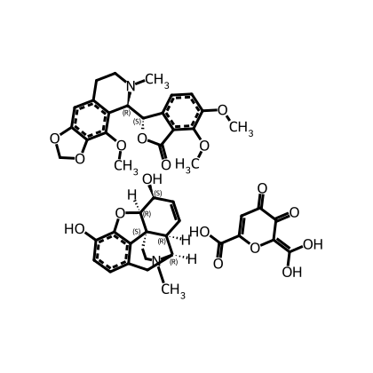 CN1CC[C@]23c4c5ccc(O)c4O[C@H]2[C@@H](O)C=C[C@H]3[C@H]1C5.COc1ccc2c(c1OC)C(=O)O[C@@H]2[C@H]1c2c(cc3c(c2OC)OCO3)CCN1C.O=C(O)C1=CC(=O)C(=O)C(=C(O)O)O1